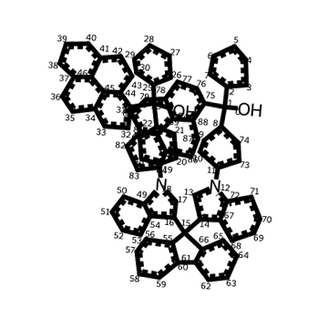 OC(c1ccccc1)(c1ccc(-n2cc(C3(c4cn(-c5ccc(C(O)(c6ccccc6)c6ccc7ccc8cccc9ccc6c7c89)cc5)c5ccccc45)c4ccccc4-c4ccccc43)c3ccccc32)cc1)c1ccc2ccc3cccc4ccc1c2c34